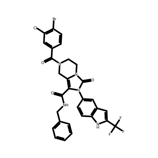 O=C(NCc1ccccc1)c1c2n(c(=O)n1-c1ccc3[nH]c(C(F)(F)F)cc3c1)CCN(C(=O)c1ccc(Br)c(Cl)c1)C2